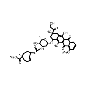 COC(=O)[C@]1(C)CC/C=C/C(OC(=O)N[C@H]2C[C@H](O[C@H]3C[C@](O)(C(=O)CO)Cc4c(O)c5c(c(O)c43)C(=O)c3c(OC)cccc3C5=O)O[C@@H](C)[C@H]2O)CC1